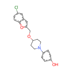 Oc1ccc(N2CCC(OCc3cc4cc(Cl)ccc4o3)CC2)cc1